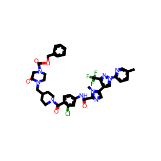 Cc1ccc(-n2cc(-c3cnc(C(=O)Nc4ccc(C(=O)N5CCC(CN6CCN(C(=O)OCc7ccccc7)CC6=O)CC5)c(Cl)c4)n3C)c(C(F)(F)F)n2)nc1